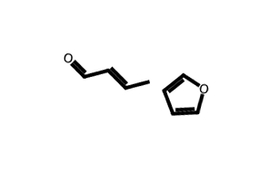 CC=CC=O.c1ccoc1